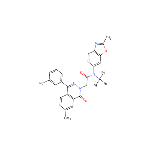 [2H]C([2H])([2H])N(C(=O)Cn1nc(-c2cccc(C#N)c2)c2ccc(OC)cc2c1=O)c1ccc2nc(C)oc2c1